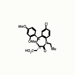 COc1ccc([C@@H]2S[C@@H](CC(=O)O)C(=O)N(CC(C)(C)C)c3ccc(Cl)cc32)c(OC)c1